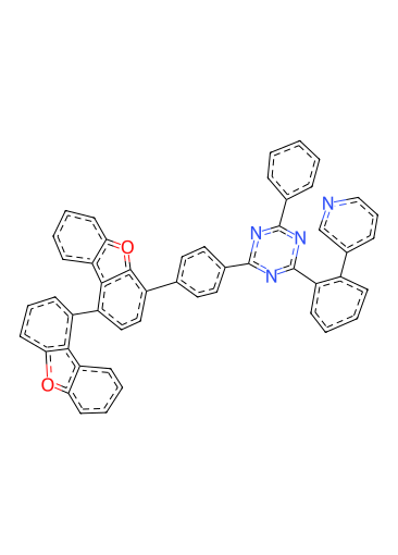 c1ccc(-c2nc(-c3ccc(-c4ccc(-c5cccc6oc7ccccc7c56)c5c4oc4ccccc45)cc3)nc(-c3ccccc3-c3cccnc3)n2)cc1